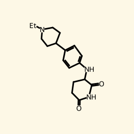 CCN1CCC(c2ccc(NC3CCC(=O)NC3=O)cc2)CC1